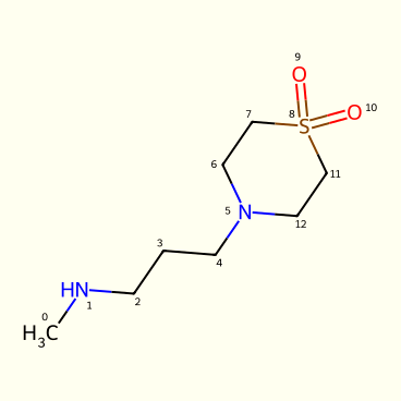 CNCCCN1CCS(=O)(=O)CC1